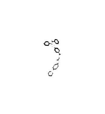 O=C(CNC(=O)c1ccc(S(=O)(=O)N(C(=O)c2ccccc2)c2ccccc2)cc1)NC1CCC(N2CCCCC2)CC1